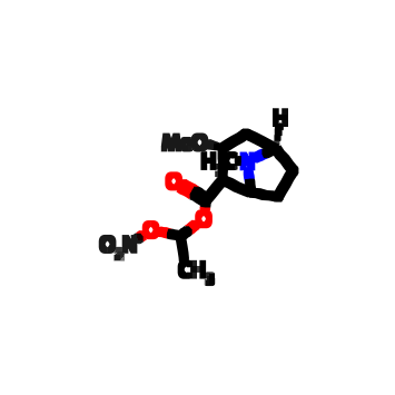 CO[C@H]1C[C@H]2CCC(C1C(=O)OC(C)O[N+](=O)[O-])N2C